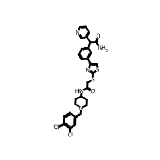 NC(=O)C(c1cccnc1)c1cccc(-c2csc(SCC(=O)NC3CCN(Cc4ccc(Cl)c(Cl)c4)CC3)n2)c1